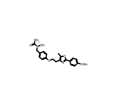 COc1ccc(-c2nc(CCOc3ccc(CN(O)C(N)=O)cc3)c(C)o2)cc1